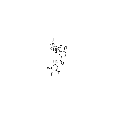 O=C1CC2C[C@@H](C1)[C@H]2CS(=O)(=O)c1cc(C(=O)Nc2cc(F)c(F)c(F)c2)ccc1Cl